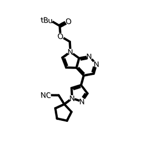 CC(C)(C)C(=O)OCn1ccc2c(-c3cnn(C4(CC#N)CCCC4)c3)cnnc21